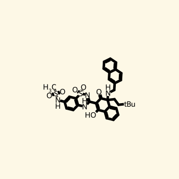 CC(C)(C)CCC1(NCc2ccc3ccccc3c2)C(=O)C(C2=NS(=O)(=O)c3cc(NS(C)(=O)=O)ccc3N2)=C(O)c2ccccc21